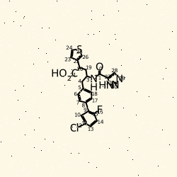 O=C(NC(Cc1ccc(-c2cc(Cl)ccc2F)cc1)CC(C(=O)O)c1ccsc1)c1cnn[nH]1